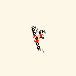 [C-]#[N+]C(C(=O)OCCC(C)OC)=C1Sc2c(OC(=O)C3CCC(C4CCC(C)CC4)CC3)ccc(OC(=O)C3CCC(C4CCC(C)CC4)CC3)c2S1